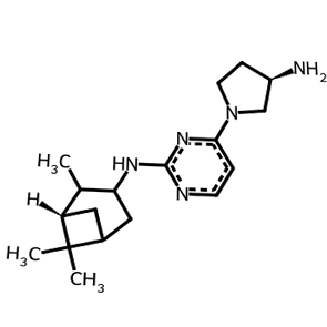 CC1C(Nc2nccc(N3CC[C@@H](N)C3)n2)CC2C[C@@H]1C2(C)C